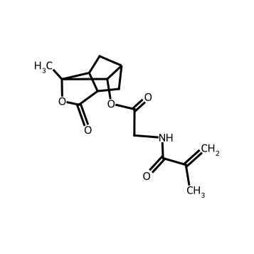 C=C(C)C(=O)NCC(=O)OC1C2CC3C(=O)OC1(C)C3C2